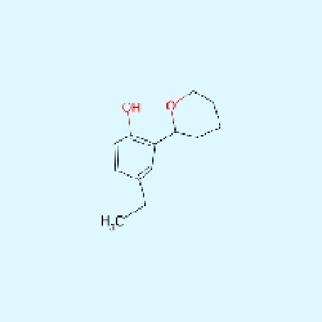 CCc1ccc(O)c(C2CCCCO2)c1